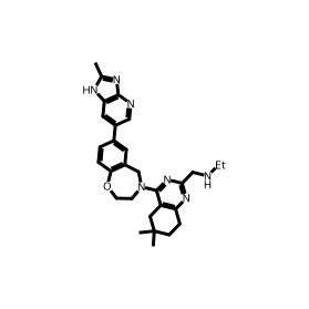 CCNCc1nc2c(c(N3CCOc4ccc(-c5cnc6nc(C)[nH]c6c5)cc4C3)n1)CC(C)(C)CC2